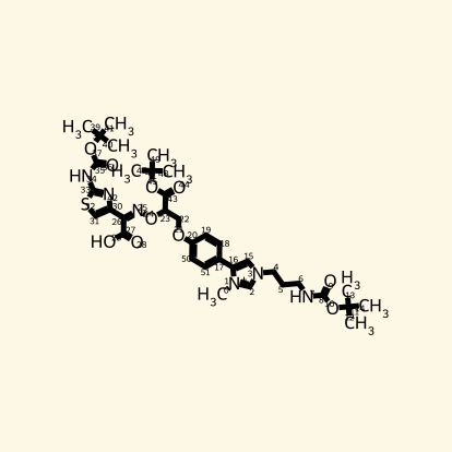 C[n+]1cn(CCCNC(=O)OC(C)(C)C)cc1-c1ccc(OCC(O/N=C(\C(=O)O)c2csc(NC(=O)OC(C)(C)C)n2)C(=O)OC(C)(C)C)cc1